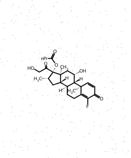 CCCC(=O)O[C@@]1(C(=O)CO)[C@@H](C)C[C@H]2[C@@H]3CCC4=C(F)C(=O)C=C[C@]4(C)[C@H]3[C@@H](O)C[C@@]21C